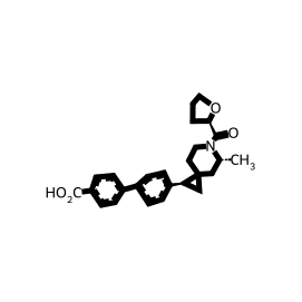 C[C@@H]1CC2(CCN1C(=O)[C@H]1CCCO1)C[C@H]2c1ccc(-c2ccc(C(=O)O)cc2)cc1